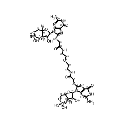 Nc1nc2c(nc(SCC(=O)NCCOCCNC(=O)CSc3nc4c(=O)[nH]c(N)nc4n3[C@@H]3O[C@H]4CO[PH](O)(S)O[C@H]4[C@@H]3O)n2[C@@H]2OC3CO[PH](O)(S)O[C@H]3C2O)c(=O)[nH]1